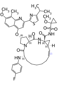 COc1ccc2c(O[C@@H]3C[C@H]4C(=O)N[C@]5(C(=O)NS(=O)(=O)C6(OC)CC6)C[C@H]5/C=C\CCCCC[C@H](Nc5ccc(F)cc5)C(=O)N4C3)cc(-c3nc(C(C)C)cs3)nc2c1C